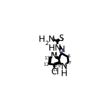 NC(=S)N/N=C1/CCNc2c(Cl)ccnc21